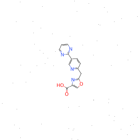 O=C(O)c1coc(Cc2ccc(-c3ncccn3)cn2)n1